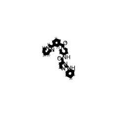 O=C(NC1CCN(C(=O)c2cccc(-c3cn4ccccc4n3)c2)CC1)c1ccnc(Nc2ccccc2)n1